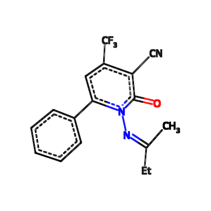 CC/C(C)=N/n1c(-c2ccccc2)cc(C(F)(F)F)c(C#N)c1=O